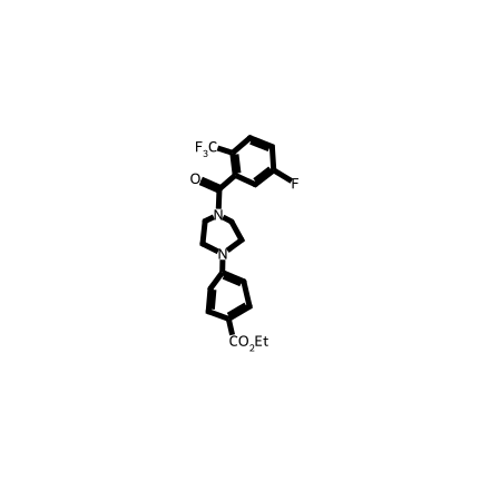 CCOC(=O)c1ccc(N2CCN(C(=O)c3cc(F)ccc3C(F)(F)F)CC2)cc1